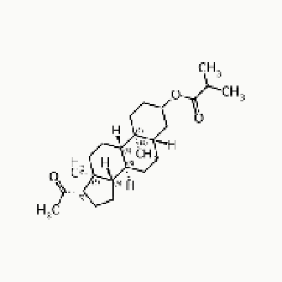 CC(=O)[C@H]1CC[C@H]2[C@@H]3CC[C@H]4CC(OC(=O)C(C)C)CC[C@]4(C)[C@H]3CC[C@]12C